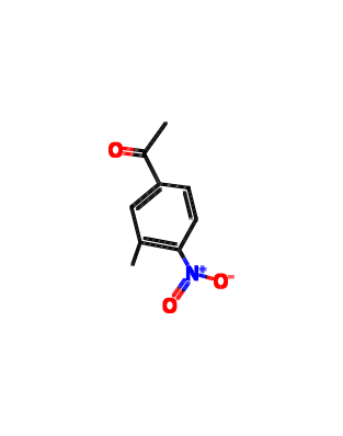 CC(=O)c1ccc([N+](=O)[O-])c(C)c1